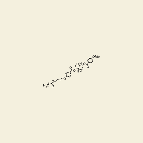 C=CC(=O)OCCCCOc1ccc(C(=O)O[C@H]2CO[C@H]3[C@@H]2OC[C@H]3OC(=O)c2ccc(OC)cc2)cc1